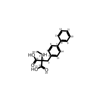 CNC(Cc1ccc(-c2ccccc2)cc1)(C(=O)O)C(=O)O